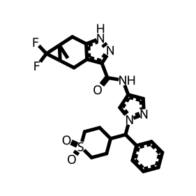 CC12Cc3[nH]nc(C(=O)Nc4cnn(C(c5ccccc5)C5CCS(=O)(=O)CC5)c4)c3CC1C2(F)F